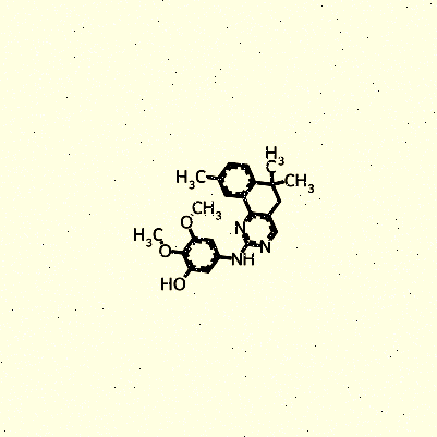 COc1cc(Nc2ncc3c(n2)-c2cc(C)ccc2C(C)(C)C3)cc(O)c1OC